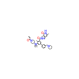 C=CC(=O)N1CCC(N(CC)c2cc(-c3cccc(CN4CCCCC4)c3)cc(C(=O)NCc3c(C)cc(C)[nH]c3=O)c2C)CC1